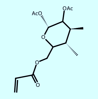 C=CC(=O)OCC1O[C@H](OC(C)=O)C(OC(C)=O)[C@@H](C)[C@@H]1C